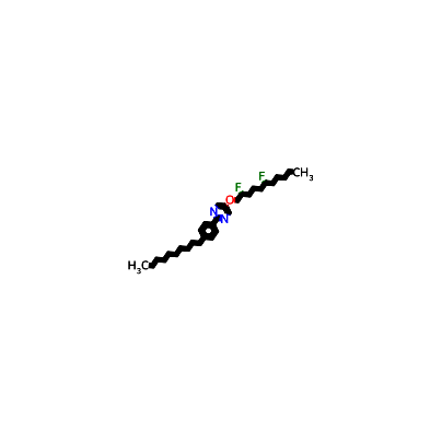 CCCCCCCCCCc1ccc(-c2ncc(OCC(F)CCCC(F)CCCCC)cn2)cc1